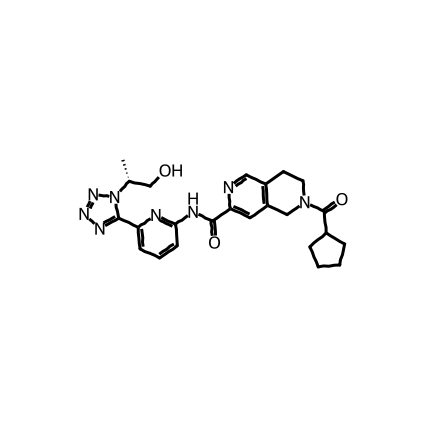 C[C@H](CO)n1nnnc1-c1cccc(NC(=O)c2cc3c(cn2)CCN(C(=O)C2CCCC2)C3)n1